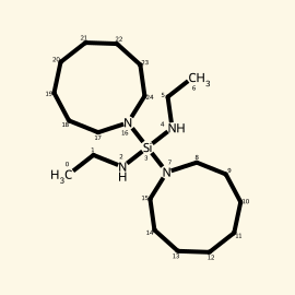 CCN[Si](NCC)(N1CCCCCCCC1)N1CCCCCCCC1